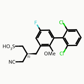 COc1c(C[C@@H](CC#N)CS(=O)(=O)O)cc(F)cc1-c1c(Cl)cccc1Cl